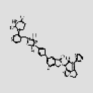 O=C1CCN(c2cnccc2CN2C[C@H]3C[C@@H]2CN3c2ccc(-c3cc(F)c4c(c3)C(=O)N(C(C(=O)Nc3nccs3)c3ncn5c3CCC5)C4)cc2)C(=O)N1